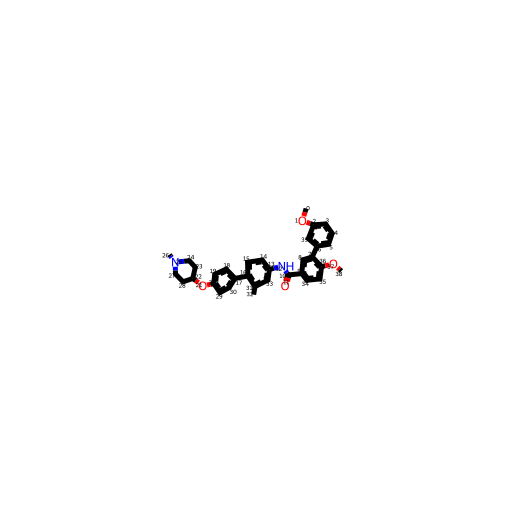 COc1cccc(-c2cc(C(=O)Nc3ccc(-c4ccc(OC5CCN(C)CC5)cc4)c(C)c3)ccc2OC)c1